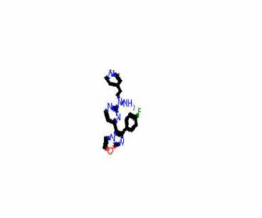 NN(CCc1ccncc1)c1nccc(-c2c(-c3ccc(F)cc3)nc3occn23)n1